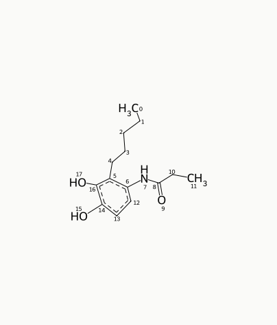 CCCCCc1c(NC(=O)CC)ccc(O)c1O